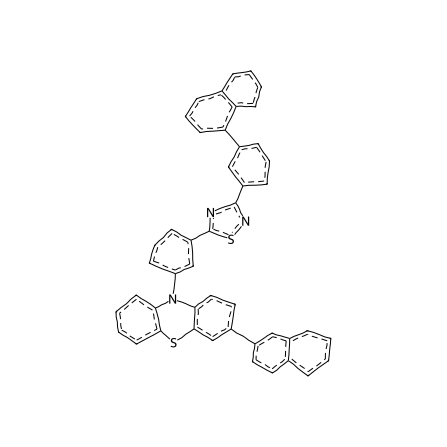 c1cc(-c2nsc(-c3cccc(N4c5ccccc5Sc5cc(-c6ccc7ccccc7c6)ccc54)c3)n2)cc(-c2cccc3ccccc23)c1